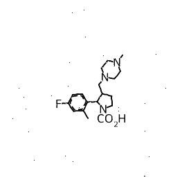 Cc1cc(F)ccc1C1C(CN2CCN(C)CC2)CCN1C(=O)O